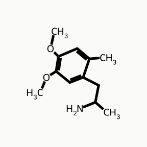 COc1cc(C)c(CC(C)N)cc1OC